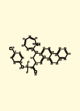 CC(C)(Oc1ccc(Cl)cc1)C(=O)C1C=c2c(ccc3c2=CCc2ccccc2-3)C(C2=CC=CC=CN2)C1